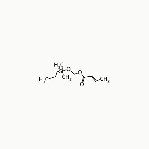 CC=CC(=O)OCO[Si](C)(C)CCC